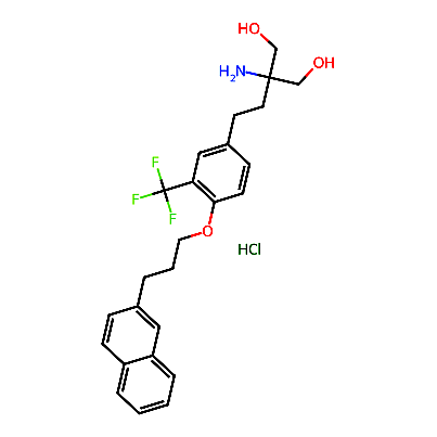 Cl.NC(CO)(CO)CCc1ccc(OCCCc2ccc3ccccc3c2)c(C(F)(F)F)c1